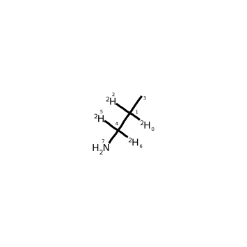 [2H]C([2H])(C)C([2H])([2H])N